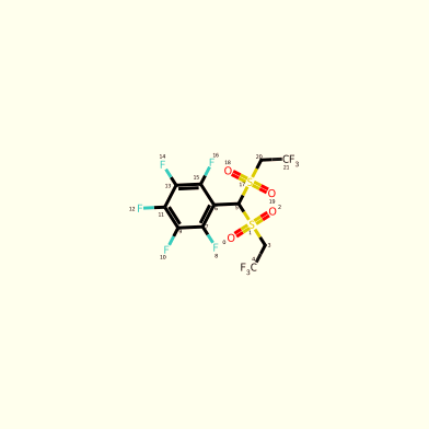 O=S(=O)(CC(F)(F)F)C(c1c(F)c(F)c(F)c(F)c1F)S(=O)(=O)CC(F)(F)F